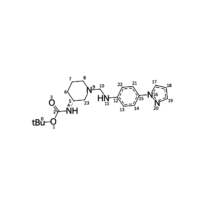 CC(C)(C)OC(=O)N[C@@H]1CCCN(CNc2ccc(-n3cccn3)cc2)C1